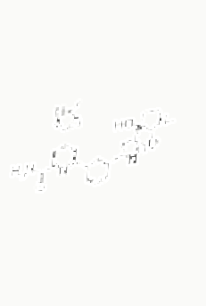 Cc1ncc(-c2cc(C(N)=O)nc(-c3cccc(-c4cc([C@]5(O)CCN(C)C5=O)on4)c3)c2)o1